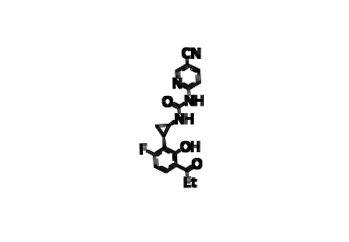 CCC(=O)c1ccc(F)c([C@H]2C[C@H]2NC(=O)Nc2ccc(C#N)cn2)c1O